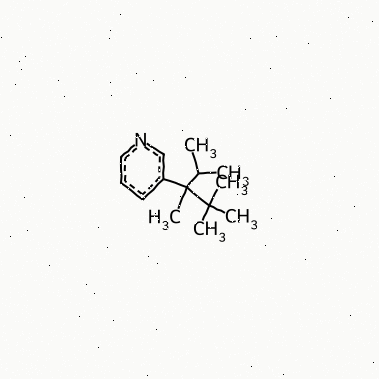 CC(C)C(C)(c1cccnc1)C(C)(C)C